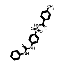 Cc1ccc(C(=O)NS(=O)(=O)c2ccc(NC(=S)Nc3ccccc3)cc2)cc1